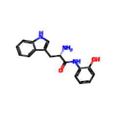 N[C@@H](Cc1c[nH]c2ccccc12)C(=O)Nc1ccccc1O